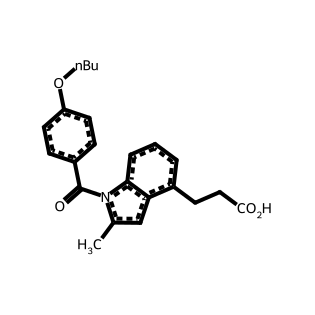 CCCCOc1ccc(C(=O)n2c(C)cc3c(CCC(=O)O)cccc32)cc1